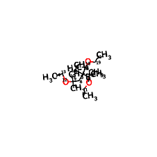 CCOB(C)C(CC)(CC(C)(C)OCC)C(C)(C)OCC